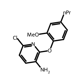 CCCc1ccc(Oc2nc(Cl)ccc2N)c(OC)c1